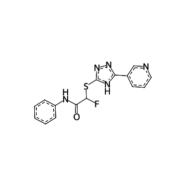 O=C(Nc1ccccc1)C(F)Sc1nnc(-c2cccnc2)[nH]1